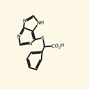 O=C(O)C(Sc1ncnc2nc[nH]c12)c1ccccc1